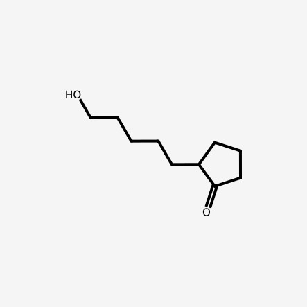 O=C1CCCC1CCCCCO